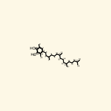 Cc1cc(CCC(C)CCCC(C)CCCC(C)CCCC(C)C)c(C)c(O)c1O